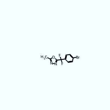 Cc1nnc(C(F)(F)c2ccc(Br)cc2)o1